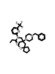 CCC(=O)N(CC1(N2CCN(Cc3ccccc3)CC2)CCOC2(CCCC2)C1)c1cccc(C(F)(F)F)n1